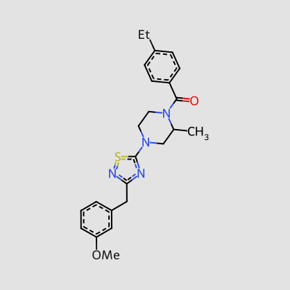 CCc1ccc(C(=O)N2CCN(c3nc(Cc4cccc(OC)c4)ns3)CC2C)cc1